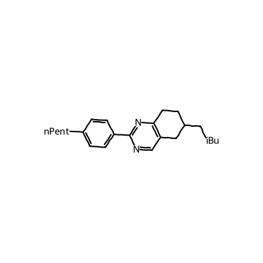 CCCCCc1ccc(-c2ncc3c(n2)CCC(CC(C)CC)C3)cc1